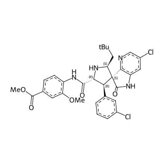 COC(=O)c1ccc(NC(=O)[C@@H]2N[C@@H](CC(C)(C)C)[C@@]3(C(=O)Nc4cc(Cl)cnc43)[C@H]2c2cccc(Cl)c2)c(OC)c1